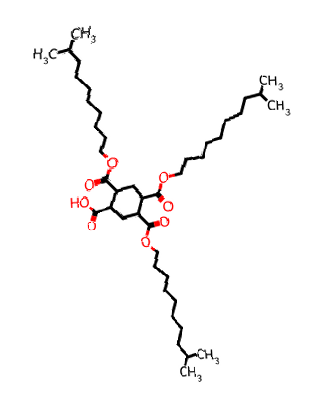 CC(C)CCCCCCCCOC(=O)C1CC(C(=O)OCCCCCCCCC(C)C)C(C(=O)OCCCCCCCCC(C)C)CC1C(=O)O